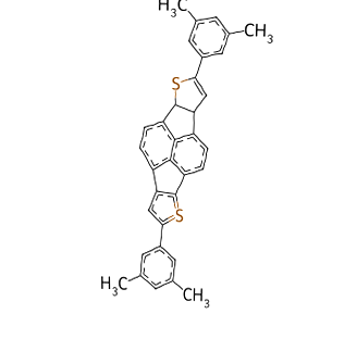 Cc1cc(C)cc(C2=CC3c4ccc5c6c(ccc(c46)C3S2)-c2cc(-c3cc(C)cc(C)c3)sc2-5)c1